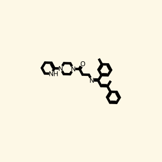 C/C(=C\C(=NCCC(=O)N1CCN(C2=CCCCN2)CC1)c1cccc(C)c1)c1ccccc1